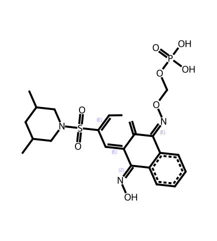 C=C1C(=C\C(=C/C)S(=O)(=O)N2CC(C)CC(C)C2)/C(=N/O)c2ccccc2/C1=N/OCOP(=O)(O)O